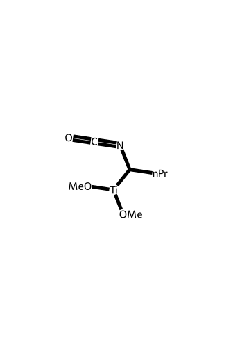 CCC[CH](N=C=O)[Ti]([O]C)[O]C